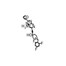 N[N+]12C=C(C#CC3(O)CCN(Cc4c(F)cc(F)cc4F)CC3)N=CC1=NC(c1ccco1)=N2